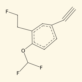 C#Cc1ccc(OC(F)F)c(CCF)c1